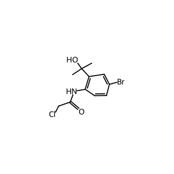 CC(C)(O)c1cc(Br)ccc1NC(=O)CCl